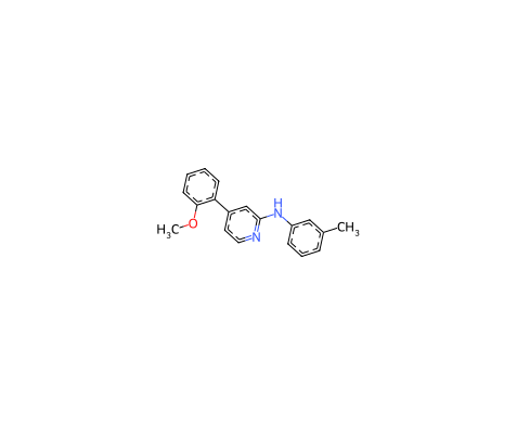 COc1ccccc1-c1ccnc(Nc2cccc(C)c2)c1